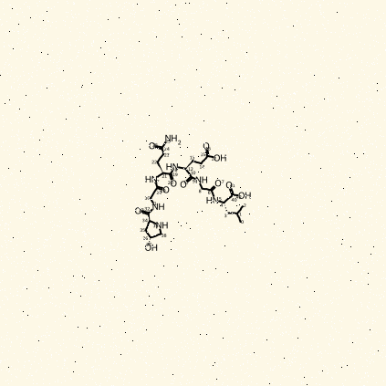 CC(C)C[C@H](NC(=O)CNC(=O)[C@H](CCC(=O)O)NC(=O)[C@H](CCC(N)=O)NC(=O)CNC(=O)[C@@H]1C[C@@H](O)CN1)C(=O)O